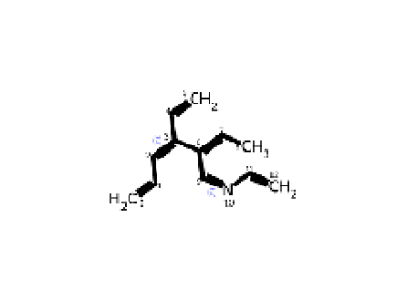 C=C/C=C(/C=C)C(=CC)/C=N\C=C